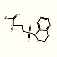 N[C@@H](CCS(=O)(=O)N1CCCc2ncccc21)C(=O)O